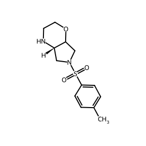 Cc1ccc(S(=O)(=O)N2CC3OCCN[C@H]3C2)cc1